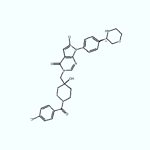 O=C(c1ccc(Cl)cc1)N1CCC(O)(Cn2cnc3c(cc(Cl)n3-c3ccc([C@@H]4COCCN4)cc3)c2=O)CC1